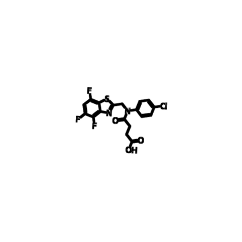 O=C(O)CCC(=O)N(Cc1nc2c(F)c(F)cc(F)c2s1)c1ccc(Cl)cc1